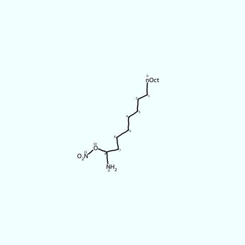 CCCCCCCCCCCCCCCC(N)O[N+](=O)[O-]